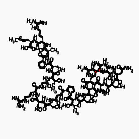 CSCC[C@H](NC(=O)[C@H](CCCNC(=N)N)NC(=O)[C@H](C)NC(=O)[C@@H]1CCCN1C(=O)[C@H](CO)NC(=O)[C@@H](NC(=O)CNC(=O)[C@H](CCCNC(=N)N)NC(=O)[C@H](CO)NC(=O)[C@H](CO)NC(=O)CNC(=O)[C@@H]1CCCN1C(=O)[C@@H](NC(=O)[C@H](CO)NC(=O)[C@H](CC(N)=O)NC(=O)[C@H](CCCNC(=N)N)NC(=O)[C@H](CO)NC(=O)[C@H](CO)NC(=O)[C@H](CC(N)=O)NC(=O)[C@@H](N)CCCNC(=N)N)[C@@H](C)O)[C@@H](C)O)C(=O)O